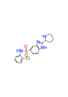 CN1CCCCC1c1nc2cc(S(=O)(=O)Nc3ccccc3Cl)ccc2[nH]1